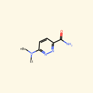 CCCCN(CC)c1ccc(C(N)=O)nn1